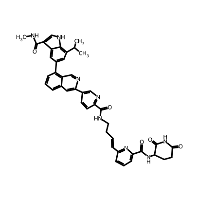 CNC(=O)c1c[nH]c2c(C(C)C)cc(-c3cccc4cc(-c5ccc(C(=O)NCC/C=C/c6cccc(C(=O)NC7CCC(=O)NC7=O)n6)nc5)ncc34)cc12